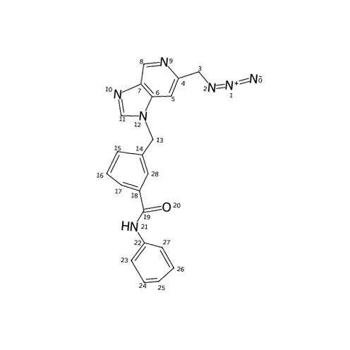 [N-]=[N+]=NCc1cc2c(cn1)ncn2Cc1cccc(C(=O)Nc2ccccc2)c1